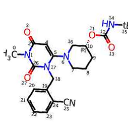 Cn1c(=O)cc(N2CCC[C@@H](OC(=O)NC(C)(C)C)C2)n(Cc2ccccc2C#N)c1=O